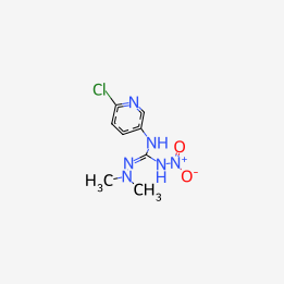 CN(C)N=C(Nc1ccc(Cl)nc1)N[N+](=O)[O-]